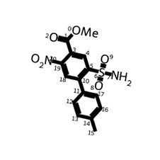 COC(=O)c1cc(S(N)(=O)=O)c(-c2ccc(C)cc2)cc1[N+](=O)[O-]